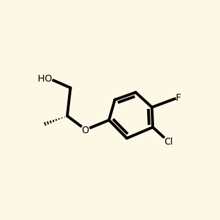 C[C@H](CO)Oc1ccc(F)c(Cl)c1